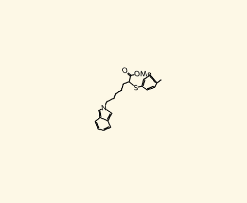 COC(=O)C(CCCCCn1cc2ccccc2c1)Sc1ccc(C)cc1